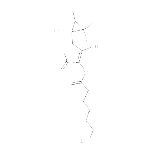 CCCCCCCCCCCCCCCC(=O)OC1=C(O)[C@@H]([C@@]2(O)C(O)C2(C)C)OC1=O